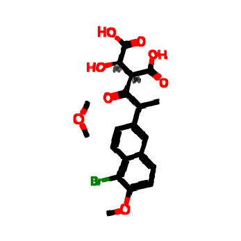 COC.COc1ccc2cc(C(C)C(=O)[C@H](C(=O)O)[C@@H](O)C(=O)O)ccc2c1Br